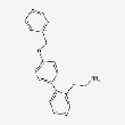 NCCc1ccccc1-c1ccc(OCc2ccccc2)cc1